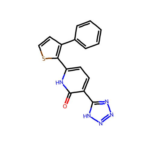 O=c1[nH]c(-c2sccc2-c2ccccc2)ccc1-c1nnn[nH]1